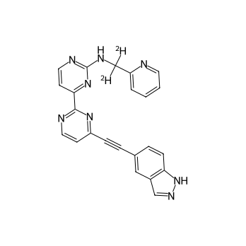 [2H]C([2H])(Nc1nccc(-c2nccc(C#Cc3ccc4[nH]ncc4c3)n2)n1)c1ccccn1